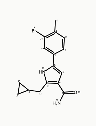 Cc1ccc(-c2cc(C(N)=O)c(CC3CC3)[nH]2)cc1Br